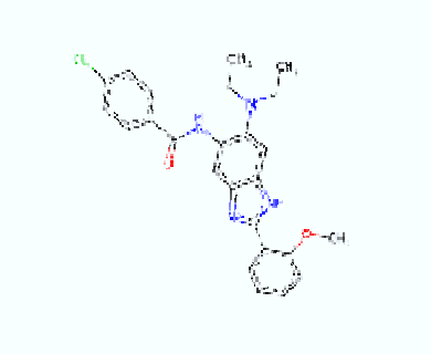 CCN(CC)c1cc2[nH]c(-c3ccccc3OC)nc2cc1NC(=O)c1ccc(Cl)cc1